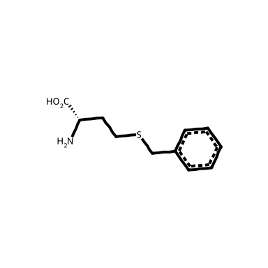 N[C@@H](CCSCc1ccccc1)C(=O)O